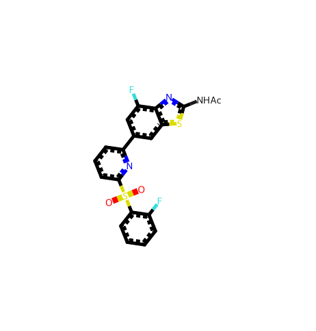 CC(=O)Nc1nc2c(F)cc(-c3cccc(S(=O)(=O)c4ccccc4F)n3)cc2s1